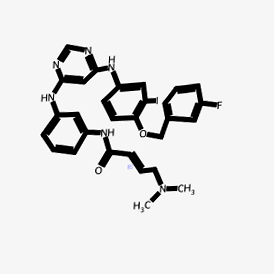 CN(C)C/C=C/C(=O)Nc1cccc(Nc2cc(Nc3ccc(OCc4cccc(F)c4)c(I)c3)ncn2)c1